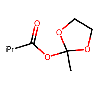 CC(C)C(=O)OC1(C)OCCO1